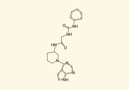 O=C(CNC(=O)Nc1ccccc1)NC1CCCN(c2ncnc3[nH]ccc23)C1